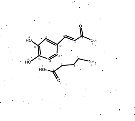 NCCCC(=O)O.O=C(O)/C=C/c1ccc(O)c(O)c1